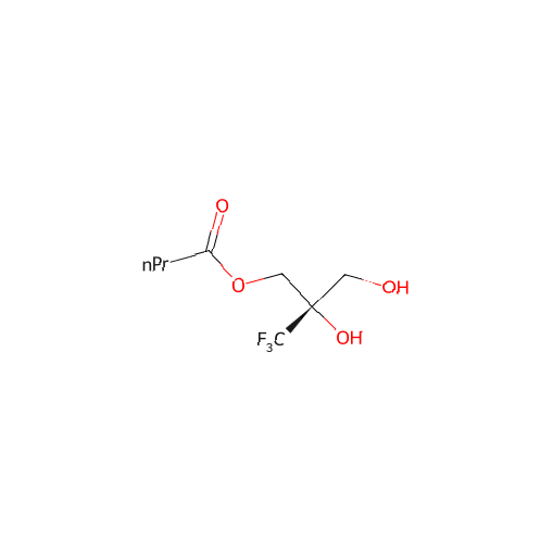 CCCC(=O)OC[C@@](O)(CO)C(F)(F)F